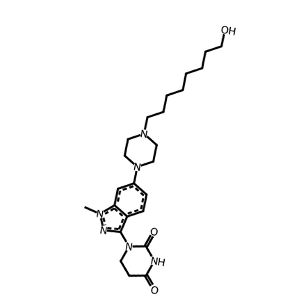 Cn1nc(N2CCC(=O)NC2=O)c2ccc(N3CCN(CCCCCCCCO)CC3)cc21